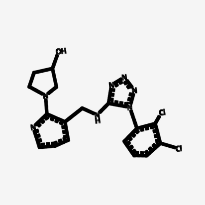 OC1CCN(c2ncccc2CNc2nnnn2-c2cccc(Cl)c2Cl)C1